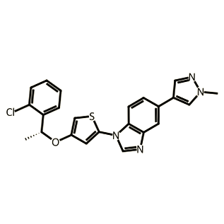 C[C@@H](Oc1csc(-n2cnc3cc(-c4cnn(C)c4)ccc32)c1)c1ccccc1Cl